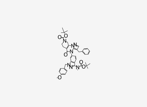 COc1ccc(Cn2nc(N(C)C(=O)OC(C)(C)C)c3ccc(-n4c(=O)c5c(n6ncc(Cc7ccccc7)c46)CN(C(=O)OC(C)(C)C)CC5)cc32)cc1